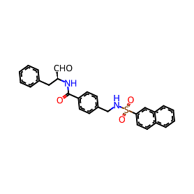 O=C[C@H](Cc1ccccc1)NC(=O)c1ccc(CNS(=O)(=O)c2ccc3ccccc3c2)cc1